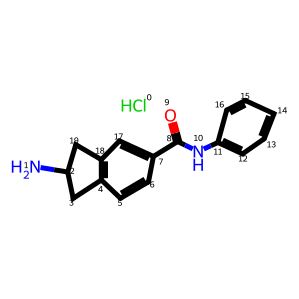 Cl.NC1Cc2ccc(C(=O)Nc3ccccc3)cc2C1